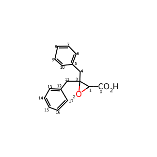 O=C(O)C1OC1(Cc1ccccc1)Cc1ccccc1